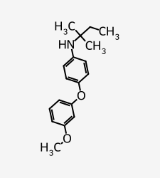 CCC(C)(C)Nc1ccc(Oc2cccc(OC)c2)cc1